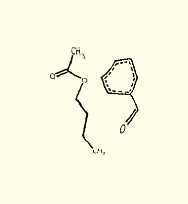 CCCCOC(C)=O.O=Cc1ccccc1